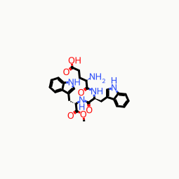 COC(=O)[C@H](Cc1c[nH]c2ccccc12)NC(=O)[C@H](Cc1c[nH]c2ccccc12)NC(=O)[C@@H](N)CCC(=O)O